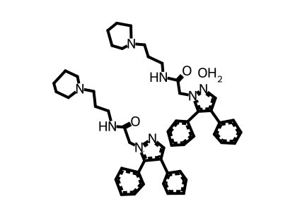 O.O=C(Cn1ncc(-c2ccccc2)c1-c1ccccc1)NCCCN1CCCCC1.O=C(Cn1ncc(-c2ccccc2)c1-c1ccccc1)NCCCN1CCCCC1